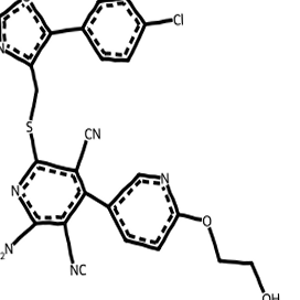 [C-]#[N+]c1c(N)nc(SCc2ncoc2-c2ccc(Cl)cc2)c(C#N)c1-c1ccc(OCCO)nc1